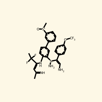 CC(=N)/C=C(\Nc1ccc(-c2cccc([S+](C)[O-])c2)cc1N(N)/C(=C\N)c1ccc(OC(F)(F)F)cc1)C(C)(F)F